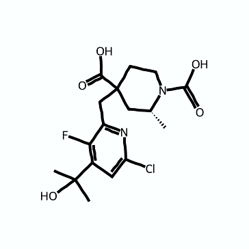 C[C@@H]1CC(Cc2nc(Cl)cc(C(C)(C)O)c2F)(C(=O)O)CCN1C(=O)O